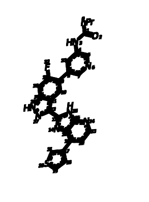 CCCC(=O)Nc1cncc(-c2cc3c(-c4nc5c(-c6ccsc6)ccnc5[nH]4)n[nH]c3cc2F)c1